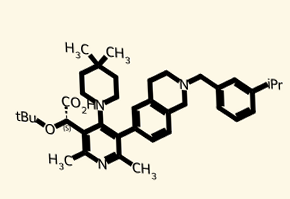 Cc1nc(C)c([C@H](OC(C)(C)C)C(=O)O)c(N2CCC(C)(C)CC2)c1-c1ccc2c(c1)CCN(Cc1cccc(C(C)C)c1)C2